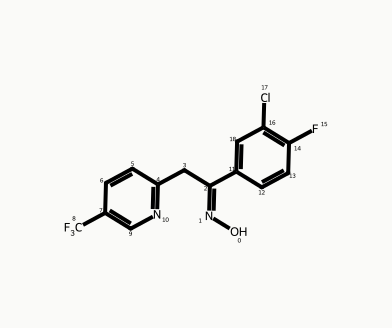 ON=C(Cc1ccc(C(F)(F)F)cn1)c1ccc(F)c(Cl)c1